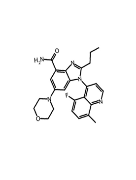 CCCc1nc2c(C(N)=O)cc(N3CCOCC3)cc2n1-c1ccnc2c(C)ccc(F)c12